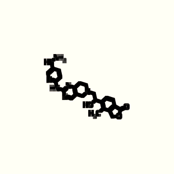 Cc1c(C(O)CN2CCc3nc(Nc4ccc(NN)cn4)ncc3C2)ccc2c1COC2=O